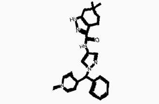 CN1CCC(C(c2ccccc2)n2cc(NC(=O)c3n[nH]c4c3CCC(C)(C)C4)cn2)CC1